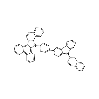 c1ccc2cc(-n3c4ccccc4c4cc(-c5ccc(-n6c7c8ccccc8ccc7c7c8ccccc8c8ccccc8c76)cc5)ccc43)ccc2c1